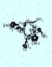 CC(O)C1NC(=O)[C@H](CCCCN)NC(=O)[C@@H](Cc2ccc(CN)cc2)NC(=O)[C@H](Cc2ccc(O)cc2)NC(=O)[C@H](NC(=O)[C@@H](N)Cc2ccc(Cl)cc2)CSSC[C@@H](C(=O)N[C@H](Cc2ccc(O)cc2)C(N)=O)NC1=O